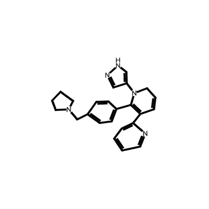 C1=CC(c2ccccn2)=C(c2ccc(CN3CCCC3)cc2)N(c2cn[nH]c2)C1